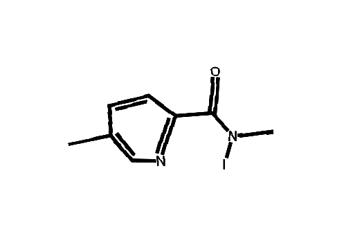 Cc1ccc(C(=O)N(C)I)nc1